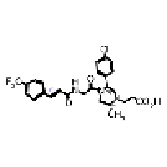 C[C@@H]1CN(C(=O)CNC(=O)/C=C/c2ccc(C(F)(F)F)cc2)[C@@H](c2ccc(Cl)cc2)CN1CCC(=O)O